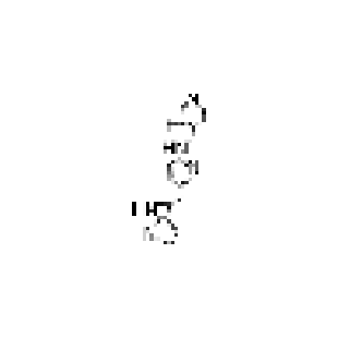 Fc1cnccc1CNc1ccc(Cc2c[nH]c3ncccc23)cn1